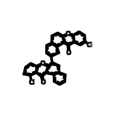 O=c1c2cc(Cl)ccc2oc2ccc3ccc(-c4cc5ccccc5c5c(=O)c6c(Cl)cccc6oc45)cc3c12